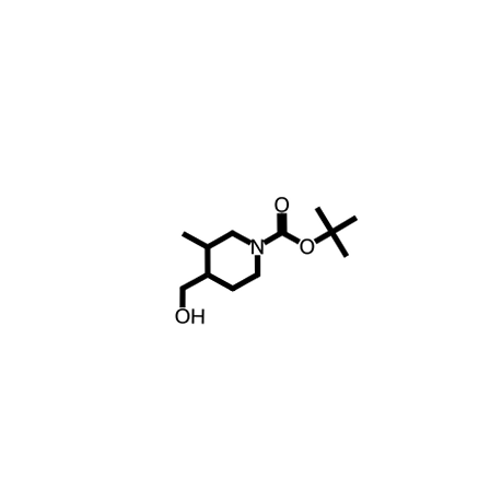 CC1CN(C(=O)OC(C)(C)C)CCC1CO